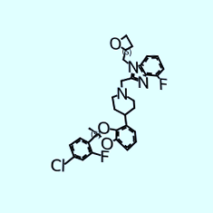 C[C@]1(c2ccc(Cl)cc2F)Oc2cccc(C3CCN(Cc4nc5c(F)cccc5n4C[C@@H]4CCO4)CC3)c2O1